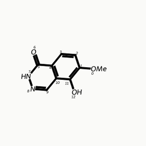 COc1ccc2c(=O)[nH]ncc2c1O